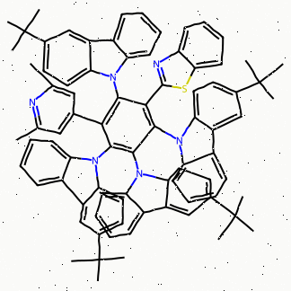 Cc1cc(-c2c(-n3c4ccccc4c4cc(C(C)(C)C)ccc43)c(-c3nc4ccccc4s3)c(-n3c4ccccc4c4cc(C(C)(C)C)ccc43)c(-n3c4ccccc4c4cc(C(C)(C)C)ccc43)c2-n2c3ccccc3c3cc(C(C)(C)C)ccc32)cc(C)n1